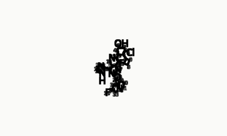 Oc1cc(Cl)c(C2CCC2)c(-c2ncc3c(N4CC5CCC4CN5)nc(OC[C@@]45CCCN4C[C@H](F)C5)nc3c2F)c1